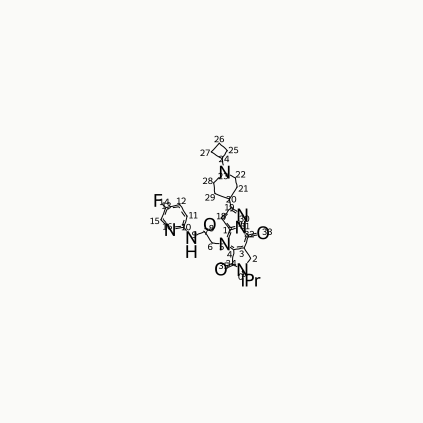 CC(C)N1Cc2c(n(CC(=O)Nc3ccc(F)cn3)c3cc(C4CCN(C5CCC5)CC4)nn3c2=O)C1=O